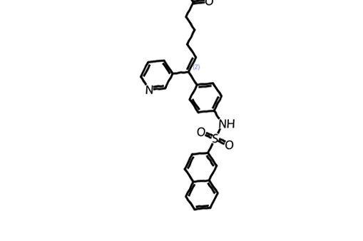 O=C(O)CCC/C=C(/c1ccc(NS(=O)(=O)c2ccc3ccccc3c2)cc1)c1cccnc1